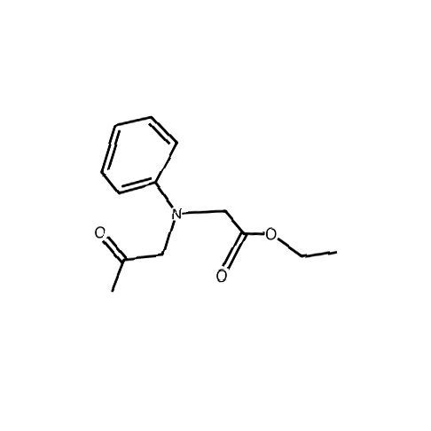 CCOC(=O)CN(CC(C)=O)c1ccccc1